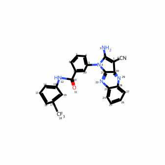 N#Cc1c(N)n(-c2cccc(C(=O)Nc3cccc(C(F)(F)F)c3)c2)c2nc3ccccc3nc12